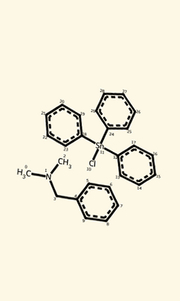 CN(C)Cc1ccccc1.[Cl][Sn]([c]1ccccc1)([c]1ccccc1)[c]1ccccc1